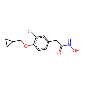 O=C(Cc1ccc(OCC2CC2)c(Cl)c1)NO